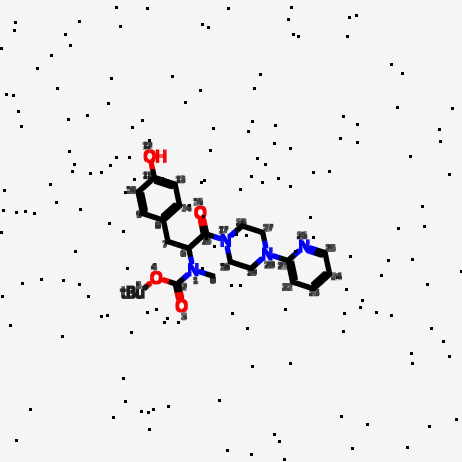 CN(C(=O)OC(C)(C)C)C(Cc1ccc(O)cc1)C(=O)N1CCN(c2ccccn2)CC1